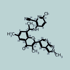 Cc1cc(C(C)Nc2ccc(Cl)nc2C#N)c2oc(-c3cnc4nn(C)cc4c3)c(C)c(=O)c2c1